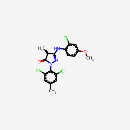 C=C1C(=O)N(c2c(Cl)cc(C)cc2Cl)N=C1Nc1ccc(OC)cc1Cl